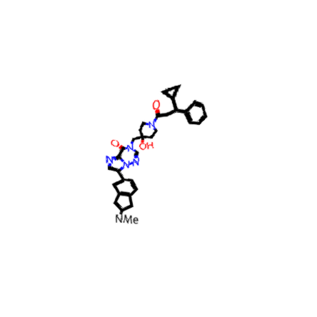 CNC1Cc2ccc(-c3cnc4c(=O)n(CC5(O)CCN(C(=O)CC(c6ccccc6)C6CC6)CC5)cnn34)cc2C1